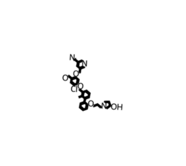 Cc1c(COc2cc(OCc3cncc(C#N)c3)c(C=O)cc2Cl)cccc1-c1ccccc1OCCCN1CCC(O)C1